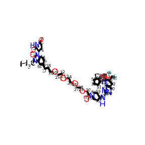 Cn1c(=O)n(C2CCC(=O)NC2=O)c2ccc(CCCOCCOCCOCCOCC(=O)N3CCC(Nc4ncc5cc(C(F)F)c(=O)n([C@@H]6CCC[C@@]6(C)O)c5n4)CC3)cc21